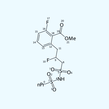 CCCS(=O)(=O)NS(=O)(=O)CC(F)Cc1cccc(F)c1C(=O)OC